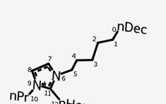 CCCCCCCCCCCCCCCn1cc[n+](CCC)c1CCCCCC